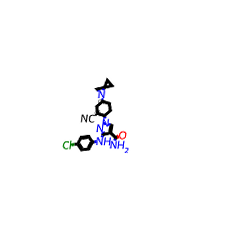 N#C[C@H]1C[C@@H](N2CC23CC3)CCC1n1cc(C(N)=O)c(Nc2ccc(Cl)cc2)n1